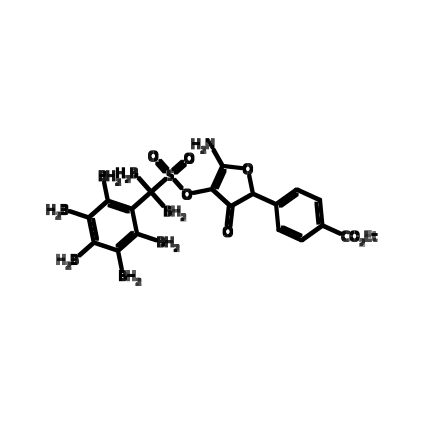 Bc1c(B)c(B)c(C(B)(B)S(=O)(=O)OC2=C(N)OC(c3ccc(C(=O)OCC)cc3)C2=O)c(B)c1B